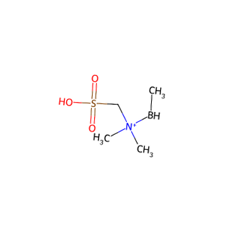 CB[N+](C)(C)CS(=O)(=O)O